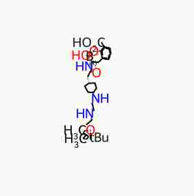 CC(C)(C)[Si](C)(C)OCCNCCN[C@H]1CC[C@H](CC(=O)N[C@H]2Cc3cccc(C(=O)O)c3OB2O)CC1